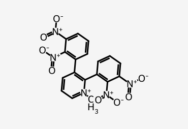 C[n+]1cccc(-c2cccc([N+](=O)[O-])c2[N+](=O)[O-])c1-c1cccc([N+](=O)[O-])c1[N+](=O)[O-]